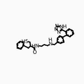 O=C(NCCCNCc1ccc(-c2ccccc2-c2nnn[nH]2)cc1)C(CS)Cc1ccccc1